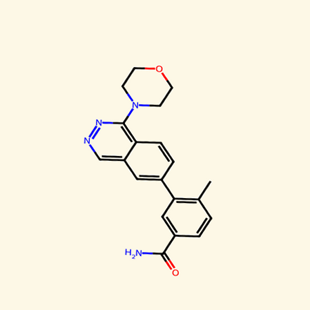 Cc1ccc(C(N)=O)cc1-c1ccc2c(N3CCOCC3)nncc2c1